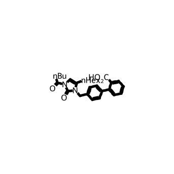 CCCCCCc1cn(C(=O)CCCC)c(=O)n1Cc1ccc(-c2ccccc2C(=O)O)cc1